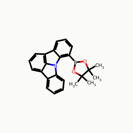 CC1(C)OB(c2cccc3c4cccc5c6ccccc6n(c23)c54)OC1(C)C